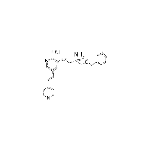 Cl.N[C@H](COCc1ccccc1)COc1cncc(C=Cc2ccncc2)c1